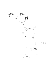 Nc1cc(-c2ccc(C(=O)N3CCCC3)cc2)n[nH]1